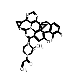 C=CC(=O)N1CCN(c2nc(=O)n(-c3c(C4CC4)ncnc3C3CC3)c3c4c(c(Cl)cc23)-c2c(ccc(F)c2F)CO4)[C@@H](C)C1